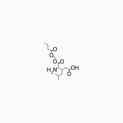 CCCC(=O)OCOC(=O)C(N)C(CC(=O)O)CC(C)C